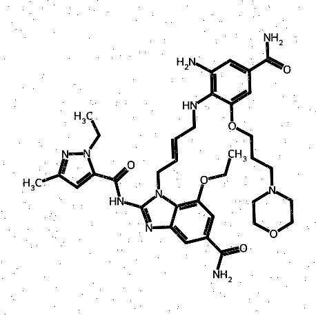 CCOc1cc(C(N)=O)cc2nc(NC(=O)c3cc(C)nn3CC)n(CC=CCNc3c(N)cc(C(N)=O)cc3OCCCN3CCOCC3)c12